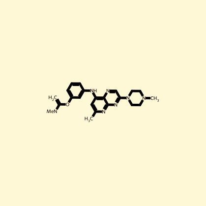 C=C(NC)Oc1cccc(Nc2cc(C)nc3nc(N4CCN(C)CC4)cnc23)c1